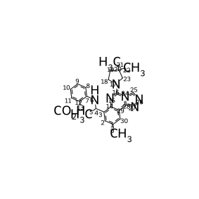 Cc1cc(C(C)Nc2ccccc2C(=O)O)c2nc(N3CCC(C)(C)C3)n3cnnc3c2c1